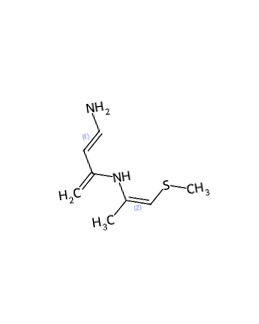 C=C(/C=C/N)N/C(C)=C\SC